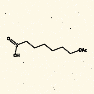 CC(=O)OCCCCCCS(=O)O